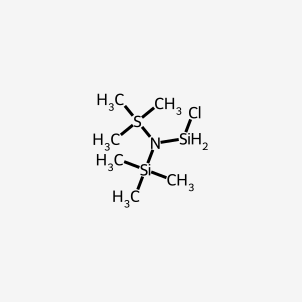 C[Si](C)(C)N([SiH2]Cl)S(C)(C)C